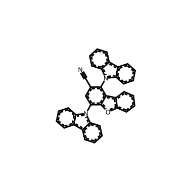 N#Cc1cc(-n2c3ccccc3c3ccccc32)c2oc3ccccc3c2c1-n1c2ccccc2c2ccccc21